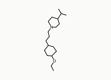 CCOC1CCC(CCCN2CCC(C(C)C)CC2)CC1